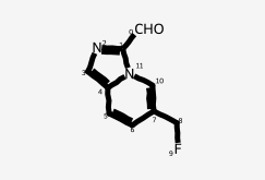 O=Cc1ncc2ccc(CF)cn12